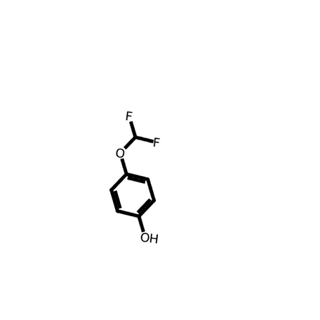 Oc1ccc(OC(F)F)cc1